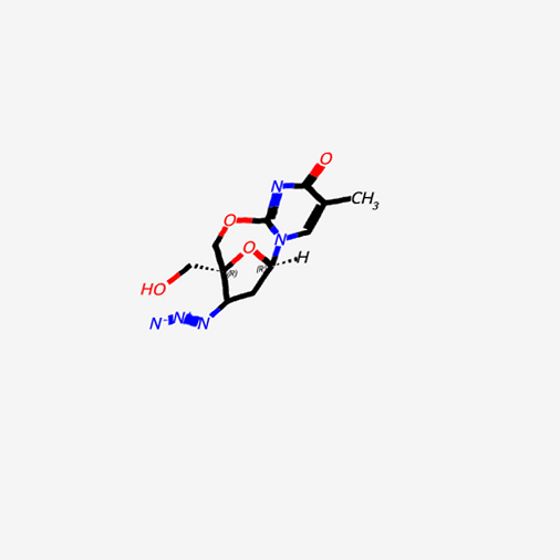 Cc1cn2c(nc1=O)OC[C@@]1(CO)O[C@@H]2CC1N=[N+]=[N-]